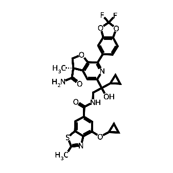 Cc1nc2c(OC3CC3)cc(C(=O)NCC(O)(c3cc4c(c(-c5ccc6c(c5)OC(F)(F)O6)n3)OC[C@]4(C)C(N)=O)C3CC3)cc2s1